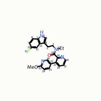 CCN(CCc1c[nH]c2ccc(F)cc12)C(=O)c1ncccc1-c1ccc(OC)nc1